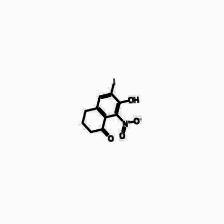 O=C1CCCc2cc(I)c(O)c([N+](=O)[O-])c21